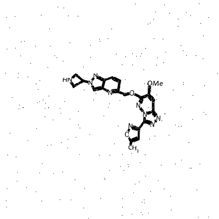 COc1cc2nnc(-c3cc(C)on3)n2nc1OCc1ccc2nn(C3CNC3)cc2n1